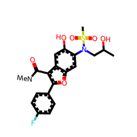 CNC(=O)c1c(-c2ccc(F)cc2)oc2cc(N(CC(C)O)S(C)(=O)=O)c(O)cc12